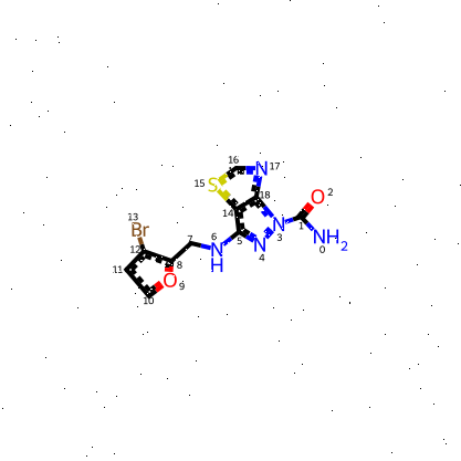 NC(=O)n1nc(NCc2occc2Br)c2s[c]nc21